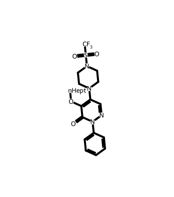 CCCCCCCOc1c(N2CCN(S(=O)(=O)C(F)(F)F)CC2)cnn(-c2ccccc2)c1=O